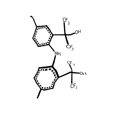 Cc1ccc(Nc2ccc(C)cc2C(O)(C(F)(F)F)C(F)(F)F)c(C(O)(C(F)(F)F)C(F)(F)F)c1